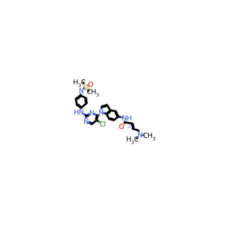 CN(C)C/C=C/C(=O)Nc1ccc2c(ccn2-c2nc(Nc3ccc(N=S(C)(C)=O)cc3)ncc2Cl)c1